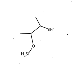 CCCC(C)C(C)O[SiH3]